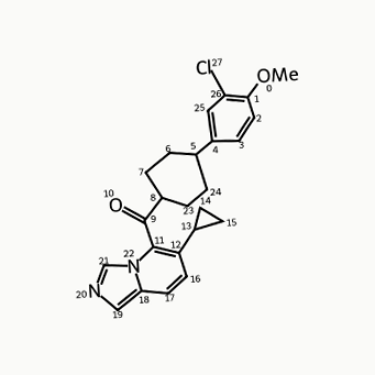 COc1ccc(C2CCC(C(=O)c3c(C4CC4)ccc4cncn34)CC2)cc1Cl